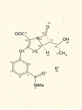 CNC(=O)c1cccc(OC2=C(C(=O)[O-])N3C(=O)[C@H]([C@@H](C)O)[C@H]3S2)c1.[K+]